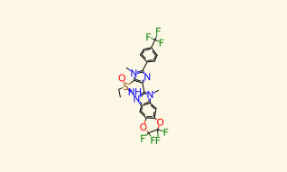 CCS(=N)(=O)c1c(-c2nc3cc4c(cc3n2C)OC(F)(F)C(F)(F)O4)nc(-c2ccc(C(F)(F)F)cc2)n1C